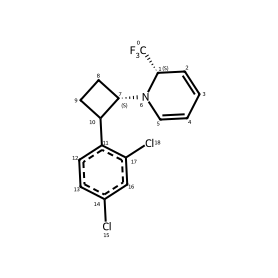 FC(F)(F)[C@@H]1C=CC=CN1[C@H]1CCC1c1ccc(Cl)cc1Cl